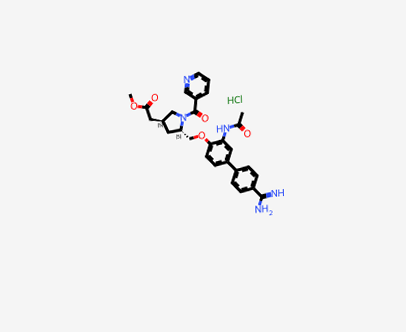 COC(=O)C[C@@H]1C[C@@H](COc2ccc(-c3ccc(C(=N)N)cc3)cc2NC(C)=O)N(C(=O)c2cccnc2)C1.Cl